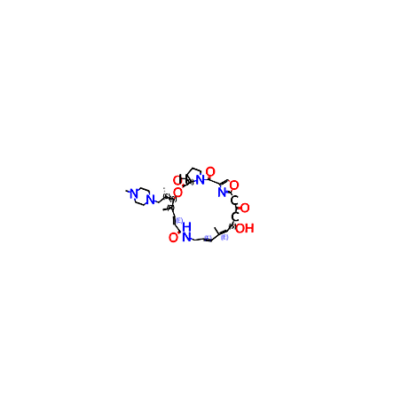 CC1=C\[C@@H](O)CC(=O)Cc2nc(co2)C(=O)N2CCC[C@@H]2C(=O)O[C@H]([C@@H](C)CN2CCN(C)CC2)[C@H](C)/C=C/C(=O)NC\C=C\1